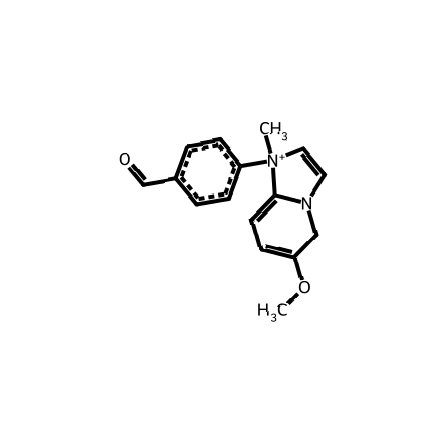 COC1=CC=C2N(C=C[N+]2(C)c2ccc(C=O)cc2)C1